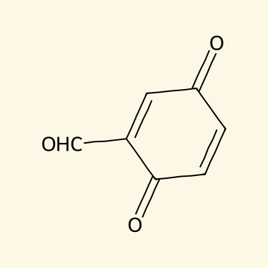 O=CC1=CC(=O)C=CC1=O